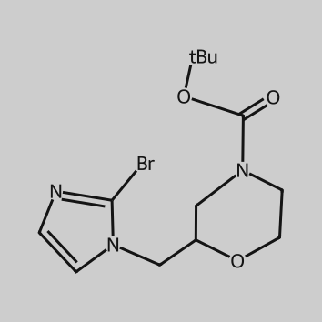 CC(C)(C)OC(=O)N1CCOC(Cn2ccnc2Br)C1